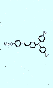 COc1ccc(C=Cc2ccc(N(c3ccc(Br)cc3)c3ccc(Br)cc3)cc2)cc1